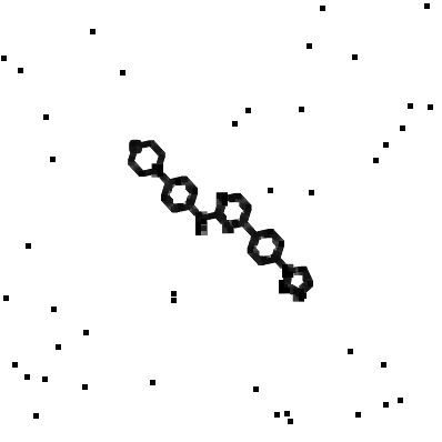 c1cn(-c2ccc(-c3ccnc(Nc4ccc(N5CCOCC5)cc4)n3)cc2)nn1